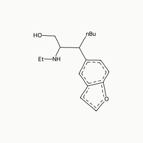 CCCCC(c1ccc2occc2c1)C(CO)NCC